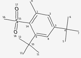 Cc1cc(C(C)(C)C)cc(C(C)(C)C)c1S(C)(=O)=O